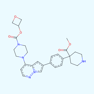 COC(=O)C1(c2ccc(-c3cc4c(N5CCN(C(=O)OC6COC6)CC5)ccnn4c3)cc2)CCNCC1